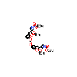 CC(C)(C)OC(=O)[C@@H](Cc1cccc(OCCOc2cccc(C[C@H](C(=O)OC(C)(C)C)[C@H]3CCN(C(=O)OC(C)(C)C)C3)c2)c1)[C@H]1CCN(C(=O)OC(C)(C)C)C1